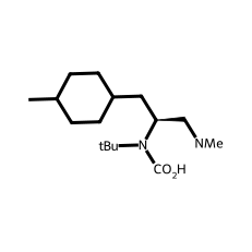 CNC[C@H](CC1CCC(C)CC1)N(C(=O)O)C(C)(C)C